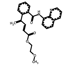 C=C(/C=C/C(=O)OCCOC)c1ccccc1C(=O)Nc1cccc2cccnc12